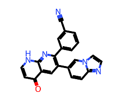 N#Cc1cccc(-c2nc3[nH]ccc(=O)c3cc2-c2ccc3nccn3c2)c1